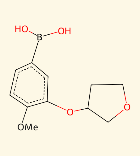 COc1ccc(B(O)O)cc1OC1CCOC1